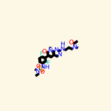 CCN(C)S(=O)(=O)Nc1ccc(F)c(-c2cc3cnc(NCCCN(C)C(C)=O)nc3n(C)c2=O)c1F